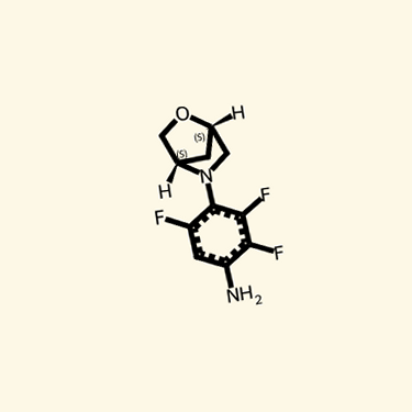 Nc1cc(F)c(N2C[C@@H]3C[C@H]2CO3)c(F)c1F